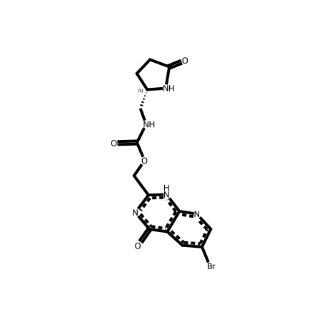 O=C1CC[C@@H](CNC(=O)OCc2nc(=O)c3cc(Br)cnc3[nH]2)N1